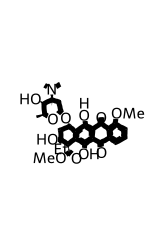 CC[C@@]1(O)C[C@H](O[C@@H]2C[C@H](N(C)C)[C@@H](O)[C@H](C)O2)c2c(O)c3c(c(O)c2[C@@H]1C(=O)OC)C(=O)c1cccc(OC)c1C3=O